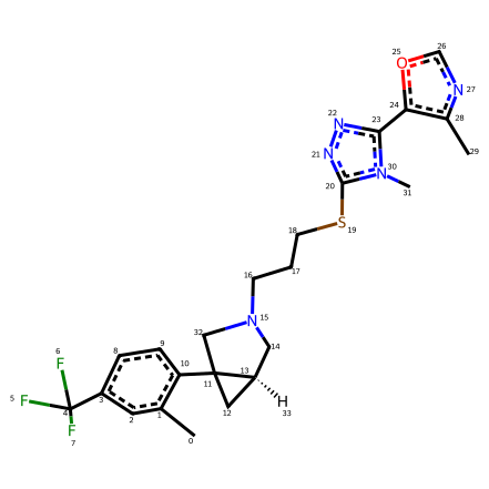 Cc1cc(C(F)(F)F)ccc1C12C[C@@H]1CN(CCCSc1nnc(-c3ocnc3C)n1C)C2